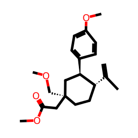 C=C(C)[C@@H]1CC[C@@](COC)(CC(=O)OC)C[C@H]1c1ccc(OC)cc1